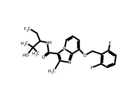 Cc1nc2c(OCc3c(F)cccc3F)cccn2c1C(=O)NC(CC(F)(F)F)C(C)(C)O